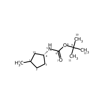 CC1CC[C@@H](NC(=O)OC(C)(C)C)C1